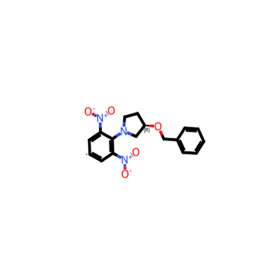 O=[N+]([O-])c1c[c]cc([N+](=O)[O-])c1N1CC[C@@H](OCc2ccccc2)C1